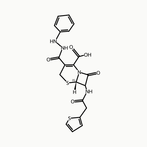 O=C(Cc1cccs1)NC1C(=O)N2C(C(=O)O)=C(C(=O)NNc3ccccc3)CS[C@@H]12